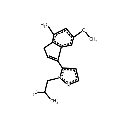 COc1cc(C)c2c(c1)C(c1ccnn1CC(C)C)=CC2